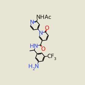 CC(=O)Nc1cc(-n2cc(C(=O)NC(C)c3cc(N)cc(C(F)(F)F)c3)ccc2=O)ccn1